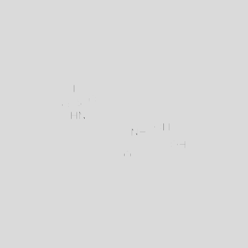 CCS(=O)(=O)Nc1ccc(NC(=O)C(C)C(O)O)cc1